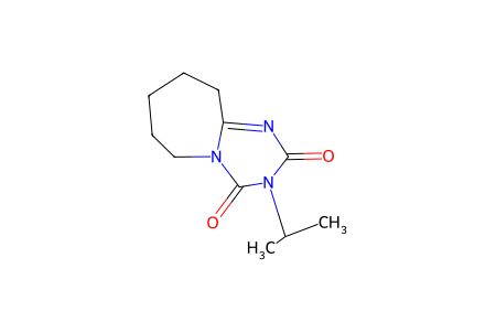 CC(C)n1c(=O)nc2n(c1=O)CCCCC2